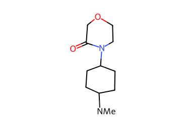 CNC1CCC(N2CCOCC2=O)CC1